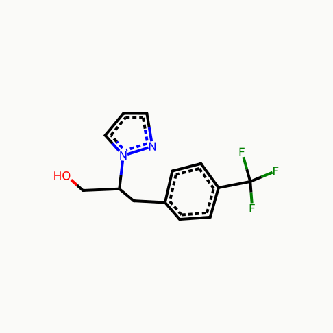 OCC(Cc1ccc(C(F)(F)F)cc1)n1cccn1